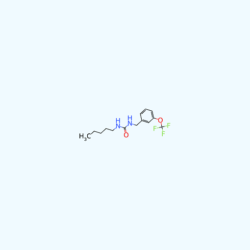 CCCCCNC(=O)NCc1cccc(OC(F)(F)F)c1